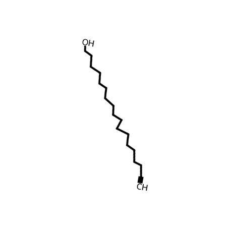 C#CCCCCCCCCCCCCCCCCO